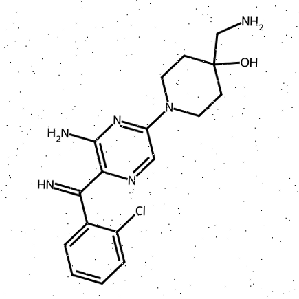 N=C(c1ccccc1Cl)c1ncc(N2CCC(O)(CN)CC2)nc1N